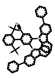 N#Cc1cc(-n2c3ccccc3c3ccc(-c4ccccc4)cc32)c(-n2c3ccccc3c3ccc(-c4ccccc4)cc32)cc1-c1c(C(F)(F)F)cccc1C(F)(F)F